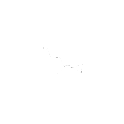 BCCC(N)=C1CC1